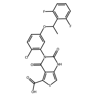 CC(Oc1ccc(Cl)c(-n2c(=O)[nH]c3csc(C(=O)O)c3c2=O)c1)c1c(F)cccc1F